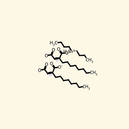 CCCCCCCC/C(=C/C(=O)[O-])C(=O)[O-].CCCCCCCC/C(=C/C(=O)[O-])C(=O)[O-].CCC[CH2][SnH2+4][CH2]CCC